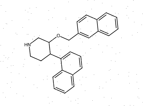 c1ccc2cc(COC3CNCCC3c3cccc4ccccc34)ccc2c1